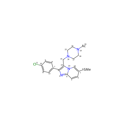 CSc1ccc2nc(-c3ccc(Cl)cc3)c(CN3CCN(C(C)=O)CC3)n2c1